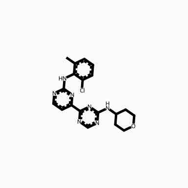 Cc1cccc(Cl)c1Nc1nccc(-c2ncnc(NC3CCOCC3)n2)n1